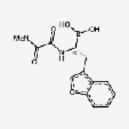 CNC(=O)C(=O)N[C@@H](Cc1coc2ccccc12)B(O)O